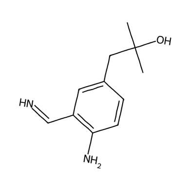 CC(C)(O)Cc1ccc(N)c(C=N)c1